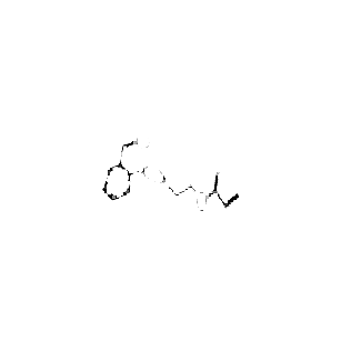 C=CC(=O)OCCOc1ccccc1C=O